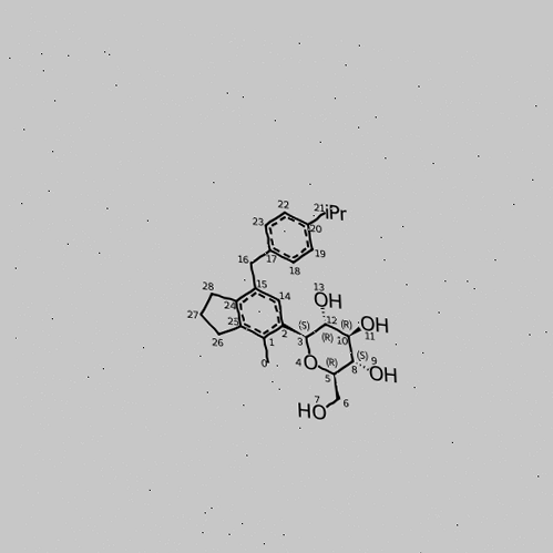 Cc1c([C@@H]2O[C@H](CO)[C@@H](O)[C@H](O)[C@H]2O)cc(Cc2ccc(C(C)C)cc2)c2c1CCC2